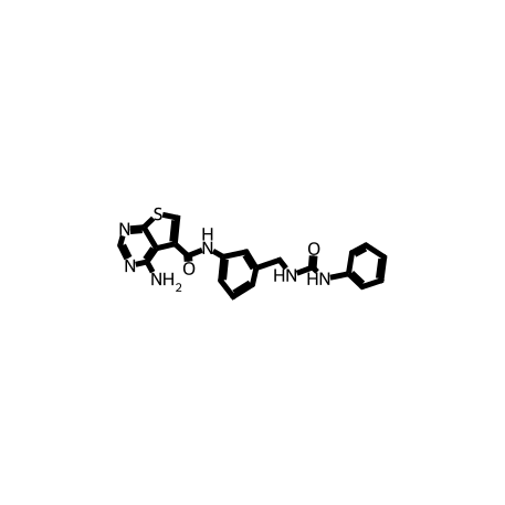 Nc1ncnc2scc(C(=O)Nc3cccc(CNC(=O)Nc4ccccc4)c3)c12